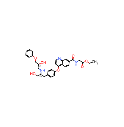 CCOC(=O)CNC(=O)c1ccc2c(Oc3ccc(C[C@@H](CO)NC[C@H](O)COc4ccccc4)cc3)ccnc2c1